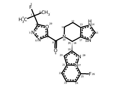 CC(C)(F)c1nnc(C(=O)N2CCc3[nH]cnc3[C@@H]2c2cc3cccc(F)n3n2)o1